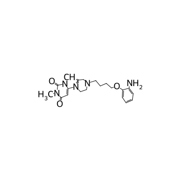 Cn1c(N2CCN(CCCCOc3ccccc3N)CC2)cc(=O)n(C)c1=O